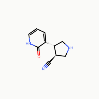 N#C[C@@H]1CNC[C@H]1c1ccc[nH]c1=O